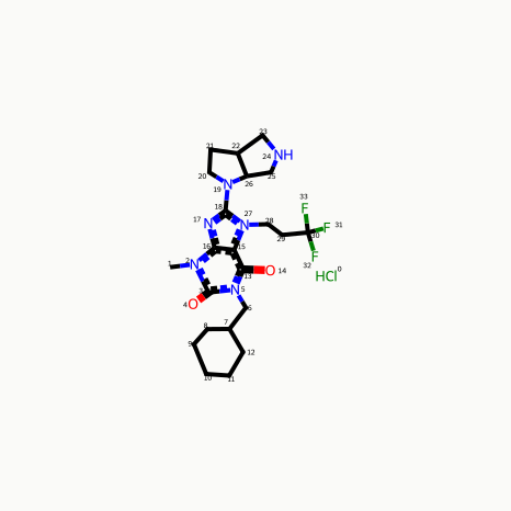 Cl.Cn1c(=O)n(CC2CCCCC2)c(=O)c2c1nc(N1CCC3CNCC31)n2CCC(F)(F)F